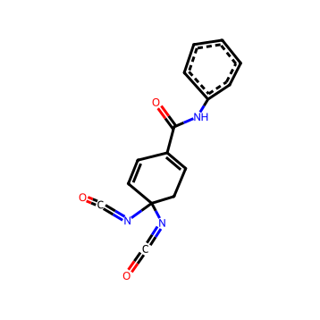 O=C=NC1(N=C=O)C=CC(C(=O)Nc2ccccc2)=CC1